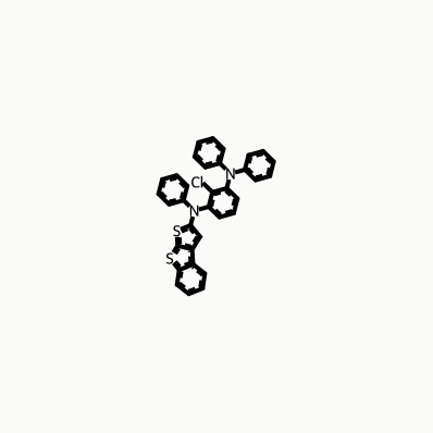 Clc1c(N(c2ccccc2)c2ccccc2)cccc1N(c1ccccc1)c1cc2c(s1)sc1ccccc12